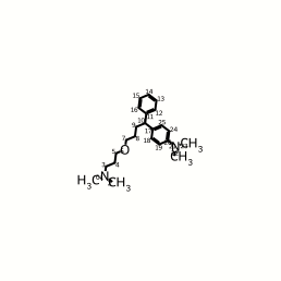 CN(C)CCCOCCCC(c1ccccc1)c1ccc(N(C)C)cc1